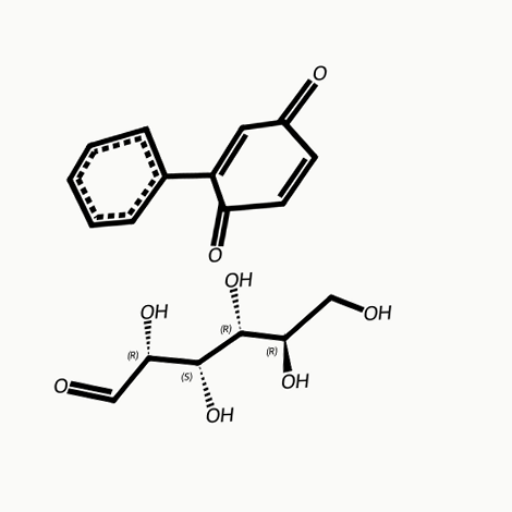 O=C1C=CC(=O)C(c2ccccc2)=C1.O=C[C@H](O)[C@@H](O)[C@H](O)[C@H](O)CO